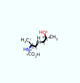 C[C@@H](O)C[AsH]C[C@H](C)NC(=O)O